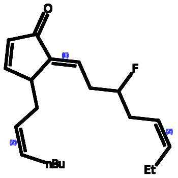 CC/C=C\CC(F)C/C=C1/C(=O)C=CC1C/C=C\CCCC